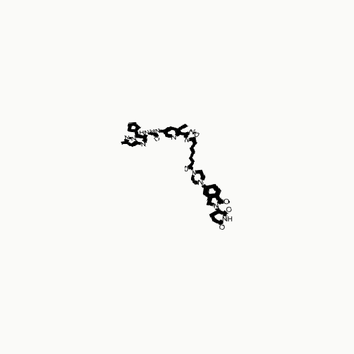 Cc1cc2ncc(NC(=O)Nc3cnc(-c4noc(CCCCCC(=O)N5CCN(c6ccc7c(c6)CN(C6CCC(=O)NC6=O)C7=O)CC5)n4)c(C)c3)c(C3CCCC3)n2n1